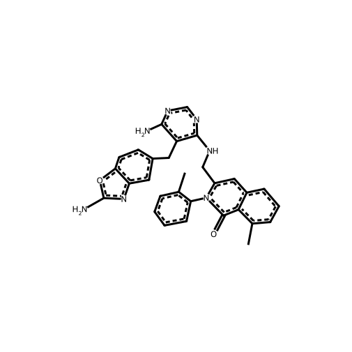 Cc1ccccc1-n1c(CNc2ncnc(N)c2Cc2ccc3oc(N)nc3c2)cc2cccc(C)c2c1=O